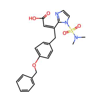 CN(C)S(=O)(=O)n1ccnc1C(=CC(=O)O)Cc1ccc(OCc2ccccc2)cc1